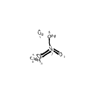 [CaH2].[Cu].[O]=[V](=[O])[OH]